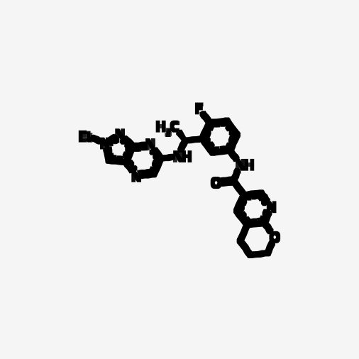 CCn1cc2ncc(N[C@@H](C)c3cc(NC(=O)c4cnc5c(c4)CCCO5)ccc3F)nc2n1